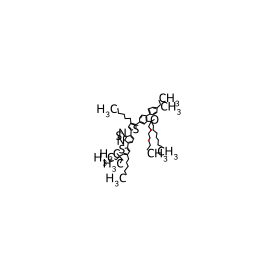 CCCCCCCCC1(CCCCCCCC)Oc2cc(C(C)CC)ccc2-c2ccc(-c3sc(-c4ccc(-c5cc(CCCCCC)c(C(C)(CC)CC)s5)c5nsnc45)cc3CCCCCC)cc21